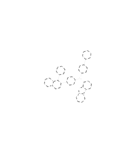 c1ccc(-c2ccc(N(c3ccc(-c4ccc5ccccc5c4-c4ccccc4)cc3)c3cccc4c3oc3ccccc34)cc2)cc1